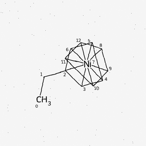 CC[C]12[CH]3[CH]4[CH]5[CH]1[Ni]45321678[CH]2[CH]1[CH]6[CH]7[CH]28